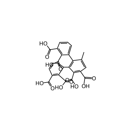 Cc1cc(C(=O)O)c(C(=O)O)c(-c2cccc(C(=O)O)c2C(=O)O)c1-c1cccc(C(=O)O)c1C(=O)O